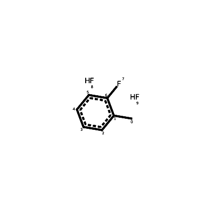 Cc1ccccc1F.F.F